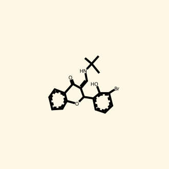 CC(C)(C)N/C=C1\C(=O)c2ccccc2OC1c1cccc(Br)c1O